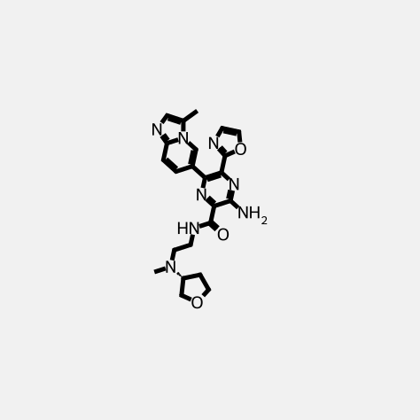 Cc1cnc2ccc(-c3nc(C(=O)NCCN(C)[C@@H]4CCOC4)c(N)nc3-c3ncco3)cn12